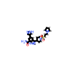 NC(=O)c1cc(-c2cn[nH]c2)cc2c(C3CCN(S(=O)(=O)CCCN4CCCC4)CC3)n[nH]c12